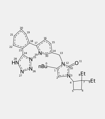 CCCCc1cn(C2CCC2(CC)CC)c(=O)n1Cc1ccc(-c2ccccc2-c2nnn[nH]2)nc1